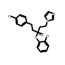 CC(CCc1ccc(Cl)cc1)(CCn1ccnc1)Sc1ccccc1Cl